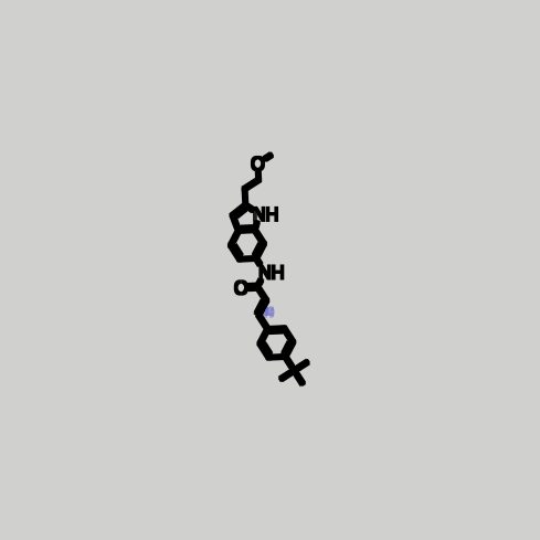 COCCc1cc2ccc(NC(=O)/C=C/c3ccc(C(C)(C)C)cc3)cc2[nH]1